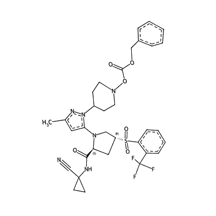 Cc1cc(N2C[C@H](S(=O)(=O)c3ccccc3C(F)(F)F)C[C@H]2C(=O)NC2(C#N)CC2)n(C2CCN(OC(=O)OCc3ccccc3)CC2)n1